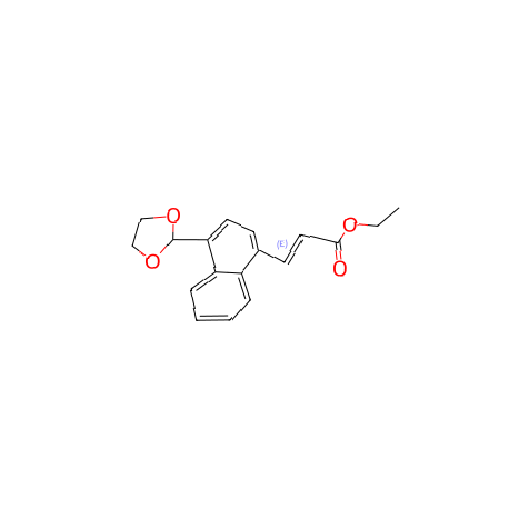 CCOC(=O)/C=C/c1ccc(C2OCCO2)c2ccccc12